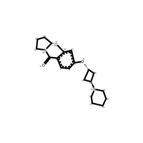 O=C(c1ccc(O[C@H]2C[C@H](N3CCCCC3)C2)cc1Cl)N1CCCC1